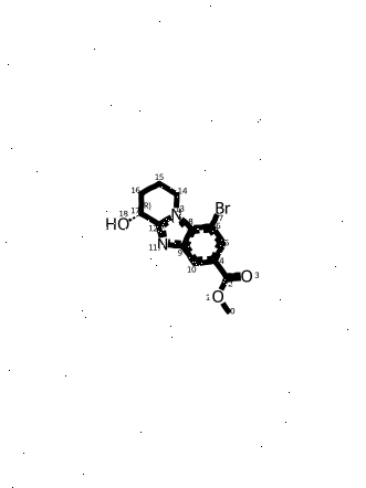 COC(=O)c1cc(Br)c2c(c1)nc1n2CCC[C@H]1O